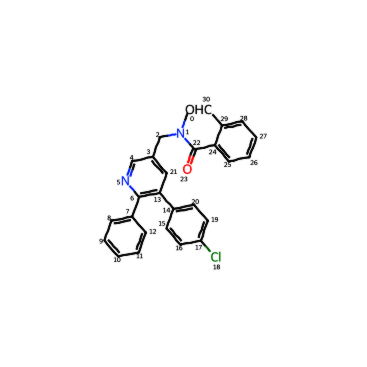 CN(Cc1cnc(-c2ccccc2)c(-c2ccc(Cl)cc2)c1)C(=O)c1ccccc1C=O